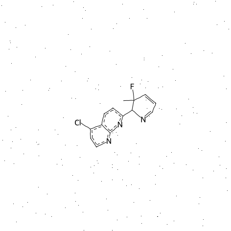 CC1(F)C=CC=NC1c1ccc2c(Cl)ccnc2n1